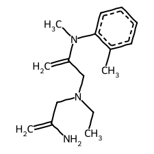 C=C(N)CN(CC)CC(=C)N(C)c1ccccc1C